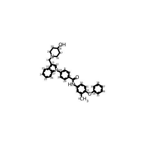 Cc1cc(NC(=O)c2ccc(-n3cc(CN4CCC(O)CC4)c4ccccc43)cc2)ccc1Oc1cc[c]cc1